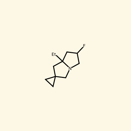 CCC12CC(F)CN1CC1(CC1)C2